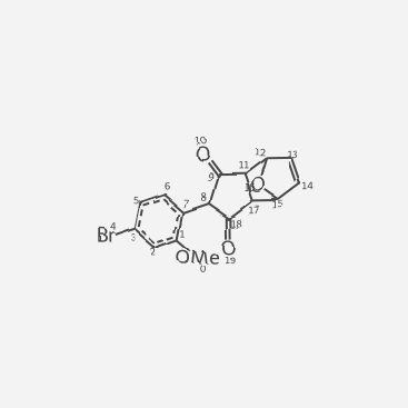 COc1cc(Br)ccc1C1C(=O)C2C3C=CC(O3)C2C1=O